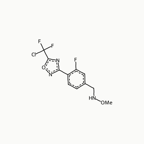 CONCc1ccc(-c2noc(C(F)(F)Cl)n2)c(F)c1